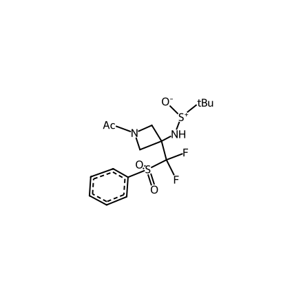 CC(=O)N1CC(N[S+]([O-])C(C)(C)C)(C(F)(F)S(=O)(=O)c2ccccc2)C1